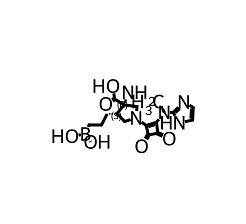 CN(c1ncc[nH]1)c1c(N2C[C@H](CCCB(O)O)[C@](N)(C(=O)O)C2)c(=O)c1=O